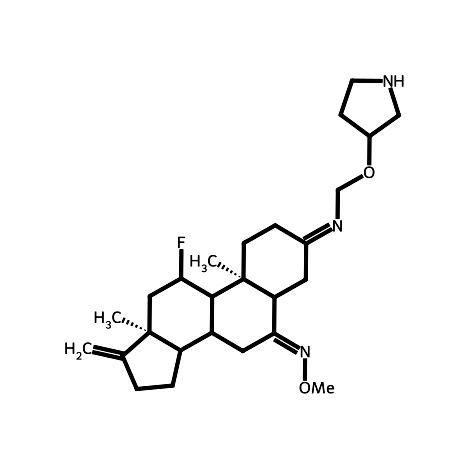 C=C1CCC2C3C/C(=N\OC)C4C/C(=N/COC5CCNC5)CC[C@]4(C)C3C(F)C[C@]12C